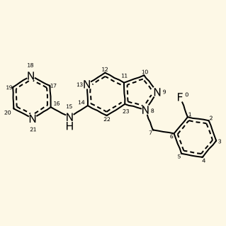 Fc1ccccc1Cn1ncc2cnc(Nc3cnccn3)cc21